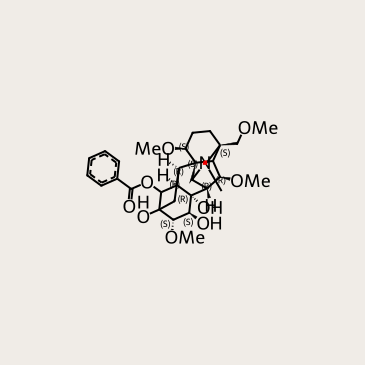 COC[C@@]12CC[C@H](OC)[C@]34C([C@H]([C@H](OC)C13)[C@@]1(O)[C@@H](O)[C@H](OC)C3(O)C[C@@H]4[C@@H]1C3OC(=O)c1ccccc1)N(C)C2